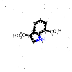 O=C(O)c1c[nH]c2c(C(=O)O)cccc12